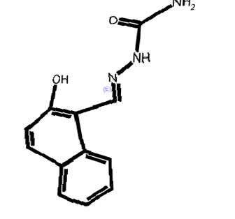 NC(=O)N/N=C/c1c(O)ccc2ccccc12